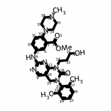 COC(=O)c1cc(Nc2ncc3c(n2)N(CCCO)C(=O)N(c2c(C)cccc2C)C3)ccc1N1CCN(C)CC1